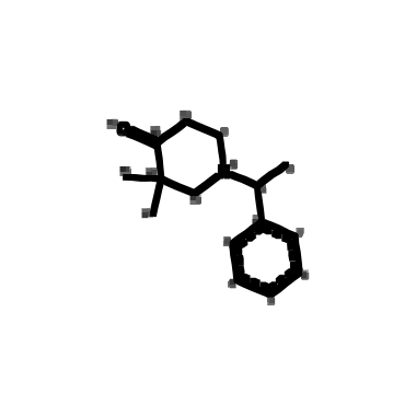 CC(c1ccccc1)N1CCC(=O)C(C)(C)C1